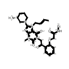 C/C=C/Cn1c(N2CCC[C@@H](N)C2)nc2c1c(=O)n(CC(=O)c1ccccc1OCC(=O)NCC)c(=O)n2C